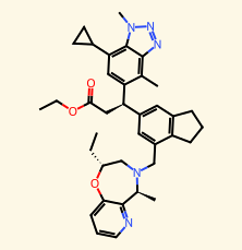 CCOC(=O)C[C@H](c1cc2c(c(CN3C[C@@H](CC)Oc4cccnc4[C@@H]3C)c1)CCC2)c1cc(C2CC2)c2c(nnn2C)c1C